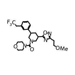 COCCc1noc(C2CC(c3cccc(CC(F)(F)F)c3)CN(C(=O)N3CCOCC3)C2)n1